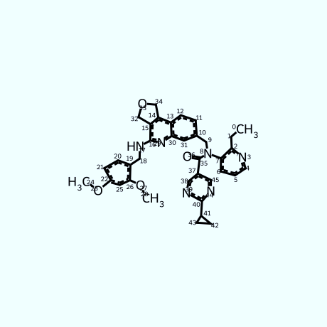 CCc1ncccc1N(Cc1ccc2c3c(c(NCc4ccc(OC)cc4OC)nc2c1)COC3)C(=O)c1cnc(C2CC2)nc1